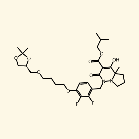 CC(C)COC(=O)C1=C(O)C2(C)CCCN2N(Cc2ccc(OCCCCOC[C@H]3COC(C)(C)O3)c(F)c2F)C1=O